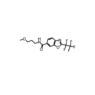 COCCCNC(=O)c1ccc2nc(C(F)(F)C(F)(F)F)oc2c1